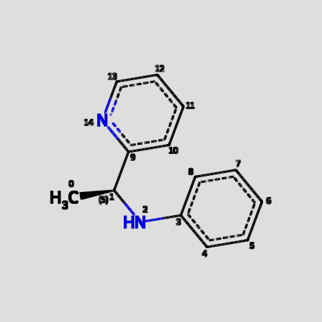 C[C@H](Nc1ccccc1)c1ccccn1